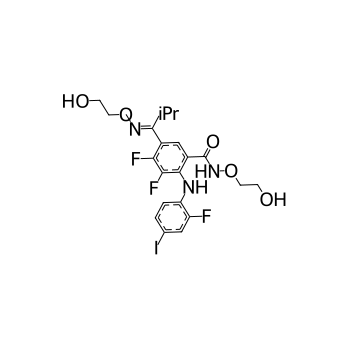 CC(C)C(=NOCCO)c1cc(C(=O)NOCCO)c(Nc2ccc(I)cc2F)c(F)c1F